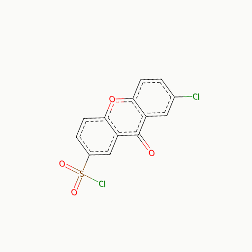 O=c1c2cc(Cl)ccc2oc2ccc(S(=O)(=O)Cl)cc12